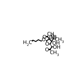 C=CCCCO[C@H]1O[C@H](C(O)C(C)=O)[C@@](O)(C(C)=O)[C@]1(O)C(C)=O